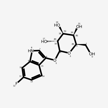 OC[C@H]1OC(Oc2c[nH]c3cc(F)ccc23)[C@H](O)[C@@H](O)[C@H]1O